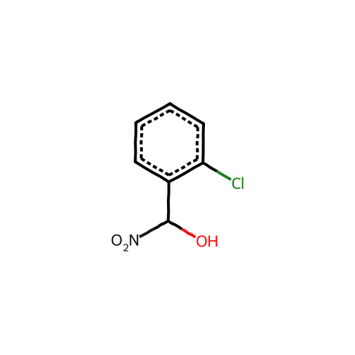 O=[N+]([O-])C(O)c1ccccc1Cl